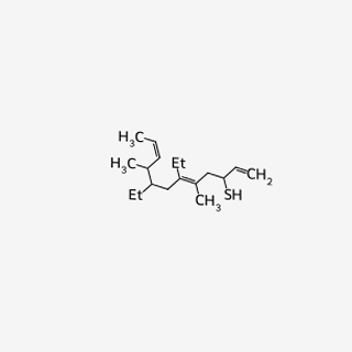 C=CC(S)C/C(C)=C(\CC)CC(CC)C(C)/C=C\C